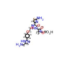 CC1(C)[C@H](NC(=O)/C(=N\OCCOc2ccc(C3=NCC(CN)N3)cc2)c2csc(N)n2)C(=O)N1OS(=O)(=O)O